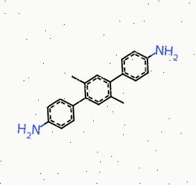 Cc1cc(-c2ccc(N)cc2)c(C)cc1-c1ccc(N)cc1